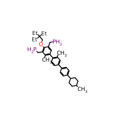 CCC(CC)(CC)COc1c(CP)cc(-c2ccc(-c3ccc(C4CCC(C)CC4)cc3)cc2C)c(C)c1CP